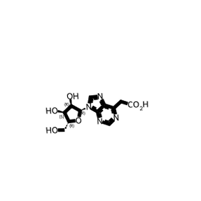 O=C(O)Cc1ncnc2c1ncn2[C@@H]1O[C@H](CO)[C@@H](O)[C@H]1O